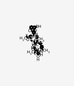 C=C(F)C(=O)N1CCN(c2nc(O[C@H](C)CN3CCC(COc4cc([C@H](C(=O)N5C[C@H](O)C[C@H]5C(=O)N[C@@H](C)c5ccc(-c6scnc6C)cc5)C(C)C)on4)CC3)nc3c(F)c(-c4cc(O)cc5ccccc45)c(Cl)cc23)C[C@@H]1CC#N